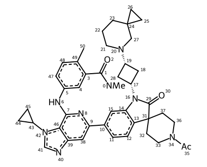 CNC(=O)c1cc(Nc2nc(-c3ccc4c(c3)N([C@H]3C[C@@H](N5CCCC6(CC6)C5)C3)C(=O)C43CCN(C(C)=O)CC3)cc3ncn(C4CC4)c23)ccc1C